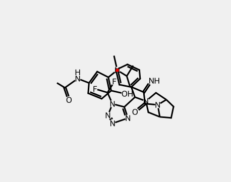 CC(=O)Nc1ccc(O)c(N(C)C(C)CC(=N)C(=O)N2C3CCC2CN(C(c2ccccc2)c2nnnn2C(F)F)C3)c1